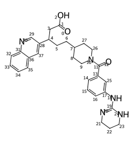 O=C(O)CC(CCC1CCN(C(=O)c2cccc(NC3=NCCCN3)c2)CC1)c1cnc2ccccc2c1